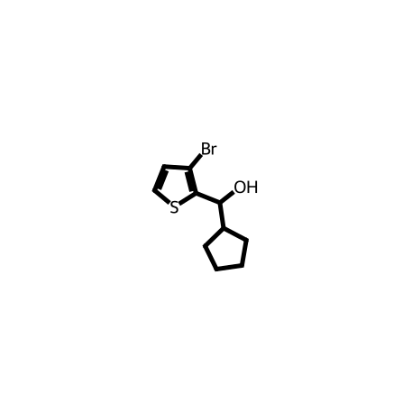 OC(c1sccc1Br)C1CCCC1